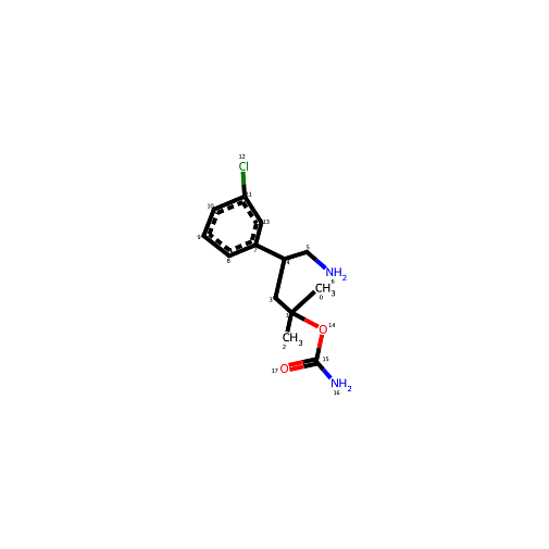 CC(C)(CC(CN)c1cccc(Cl)c1)OC(N)=O